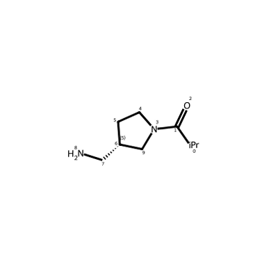 CC(C)C(=O)N1CC[C@@H](CN)C1